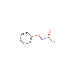 CCC(=O)[N]Oc1ccccc1